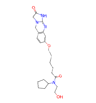 O=C1CN2Cc3ccc(OCCCCCC(=O)N(CCO)C4CCCC4)cc3N=C2N1